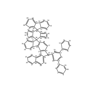 c1ccc(-c2cc(-c3ccccc3)nc(-n3c4ccc5c(c4c4c6ccccc6ccc43)-c3ccccc3C53c4ccccc4C4(c5ccccc5-c5ccccc54)c4ccccc43)c2)cc1